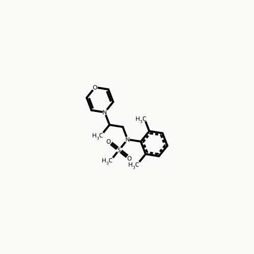 Cc1cccc(C)c1N(CC(C)N1C=COC=C1)S(C)(=O)=O